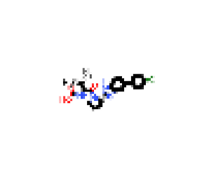 CC(C)[C@H](NC(=O)O)C(=O)N1CCC[C@H]1c1nc2cc(-c3ccc(Cl)cc3)ccc2[nH]1